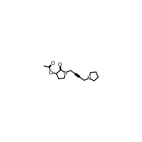 CC(=O)OC1CCN(CC#CCN2CCCC2)C1=O